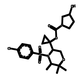 CC1N(S(=O)(=O)c2ccc(Cl)cc2)C(C2(OC(=O)N3CCC(O)C3)CC2)COC1(C)C